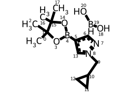 CC1(C)OB(c2cnn(CC3CC3)c2)OC1(C)C.OBO